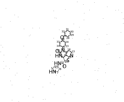 O=C(NC1CCNCC1)C1Sc2nccc3c2C1NC(=O)N3c1ccc(Oc2ccccc2)cc1